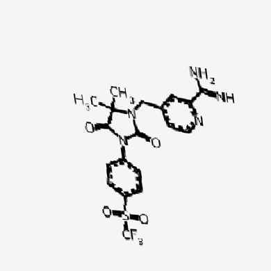 CC1(C)C(=O)N(c2ccc(S(=O)(=O)C(F)(F)F)cc2)C(=O)N1Cc1ccnc(C(=N)N)c1